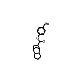 CCC(C)c1ccc(OC(=O)C2CC3CC2C2CCCC32)cc1